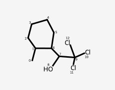 CC1CCCCC1C(O)C(Cl)(Cl)Cl